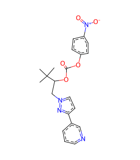 CC(C)(C)C(Cn1ccc(-c2cccnc2)n1)OC(=O)Oc1ccc([N+](=O)[O-])cc1